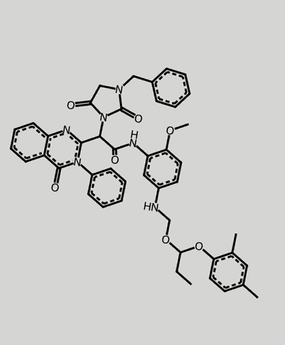 CCC(OCNc1ccc(OC)c(NC(=O)C(c2nc3ccccc3c(=O)n2-c2ccccc2)N2C(=O)CN(Cc3ccccc3)C2=O)c1)Oc1ccc(C)cc1C